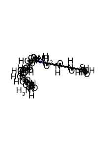 Nc1nc2c(ncn2[C@@H]2O[C@H](COP(=O)(O)OP(=O)(O)OP(=O)(O)OP(=O)(O)OC[C@H]3O[C@@H](n4cc(/C=C/CNC(=O)CCCCCNC(=O)CCCCCNC(=O)CCCC[C@H]5SC[C@H]6NC(=O)N[C@H]65)c(N)nc4=O)[C@@H](O)C3O)C(O)C2O)c(=O)[nH]1